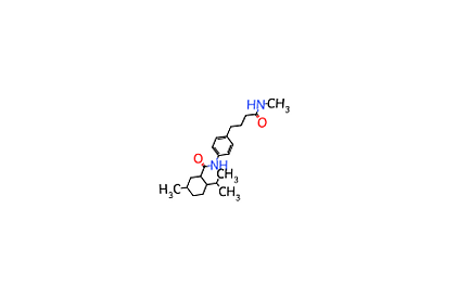 CNC(=O)CCCc1ccc(NC(=O)C2CC(C)CCC2C(C)C)cc1